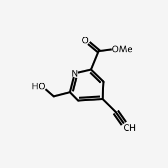 C#Cc1cc(CO)nc(C(=O)OC)c1